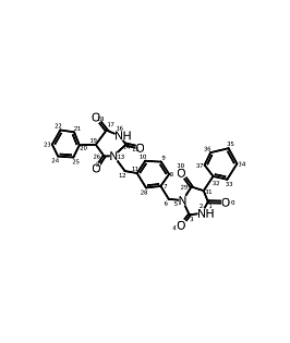 O=C1NC(=O)N(Cc2cccc(CN3C(=O)NC(=O)C(c4ccccc4)C3=O)c2)C(=O)C1c1ccccc1